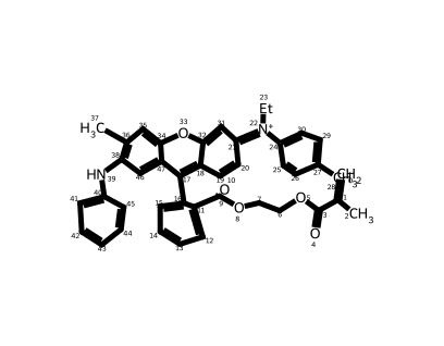 C=C(C)C(=O)OCCOC(=O)c1ccccc1-c1c2cc/c(=[N+](/CC)c3ccc(C)cc3)cc-2oc2cc(C)c(Nc3ccccc3)cc12